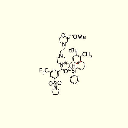 COC[C@@H]1CN(CCN2CCN(C(=O)c3cc(C(F)(F)F)cc(S(=O)(=O)N4CCCC4)c3)[C@@H](C(O[SiH](c3ccccc3)c3ccccc3)c3ccc(C)c(C(C)(C)C)c3)C2)CCO1